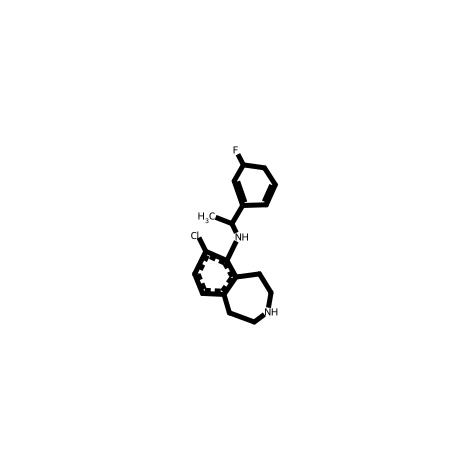 CC(Nc1c(Cl)ccc2c1CCNCC2)C1=CC(F)CC=C1